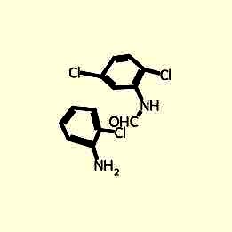 Nc1ccccc1Cl.O=CNc1cc(Cl)ccc1Cl